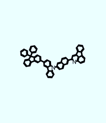 c1ccc(C2(c3ccccc3)c3ccccc3-c3cc(-c4ccc5c(c4)c4ccccc4n5-c4ccc5cc(-c6cc7c8c(cccc8n6)-c6ccccc6-7)ccc5c4)ccc32)cc1